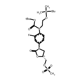 CC(C)(C)OC(=O)N(CCO[Si](C)(C)C(C)(C)C)c1ccc(N2C[C@H](COS(C)(=O)=O)OC2=O)cc1F